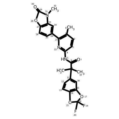 Cc1ccc(NC(=O)C(C)(C)c2ccc3c(c2)OC(F)(F)O3)nc1-c1ccc2oc(=O)n(C)c2c1